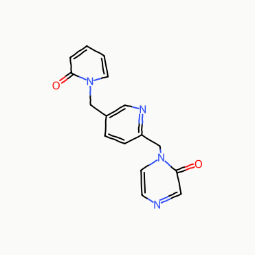 O=c1ccccn1Cc1ccc(Cn2ccncc2=O)nc1